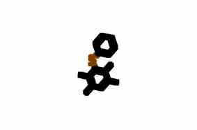 Cc1cc(C)c(C)c(Sc2ccccc2)c1C